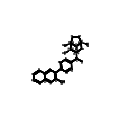 CN(c1cnc(-c2cc3ccncc3cc2O)cn1)[C@H]1C[C@@H]2CC[C@@H](N2)[C@H]1F